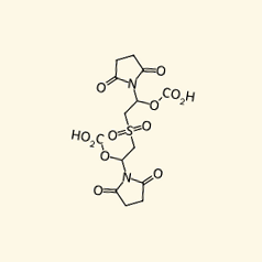 O=C(O)OC(CS(=O)(=O)CC(OC(=O)O)N1C(=O)CCC1=O)N1C(=O)CCC1=O